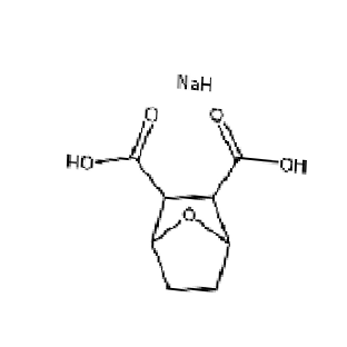 O=C(O)C1C2CCC(O2)C1C(=O)O.[NaH]